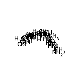 CN(CCCN)CCCNC(=O)CCNC(=O)c1cc(NC(=O)c2cc(NC(=O)c3nc(NC(=O)c4cc(NC(=O)CCCNC(=O)c5nc(NC(=O)c6cc(NC(=O)c7cc(NC(=O)c8sccc8Cl)cn7C)cn6C)cn5C)cn4C)cn3C)cn2C)cn1C